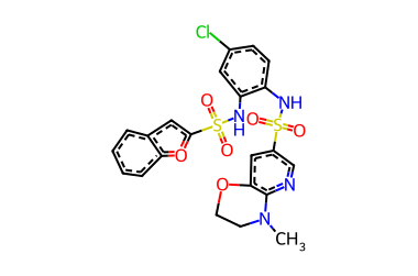 CN1CCOc2cc(S(=O)(=O)Nc3ccc(Cl)cc3NS(=O)(=O)c3cc4ccccc4o3)cnc21